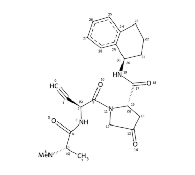 C#C[C@H](NC(=O)[C@H](C)NC)C(=O)N1CC(=O)C[C@H]1C(=O)N[C@@H]1CCCc2ccccc21